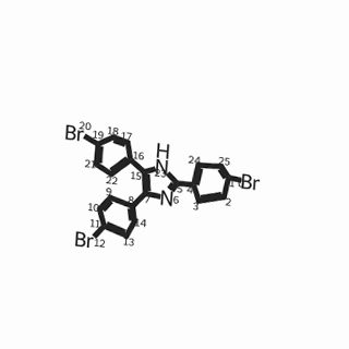 Brc1ccc(-c2nc(-c3ccc(Br)cc3)c(-c3ccc(Br)cc3)[nH]2)cc1